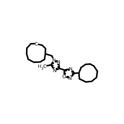 Cc1nc(-c2nc(C3CCCCCCCCC3)no2)nn1CC1CCCCCCCCCC1